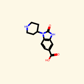 O=C(O)c1ccc2c(c1)[nH]c(=O)n2C1CCNCC1